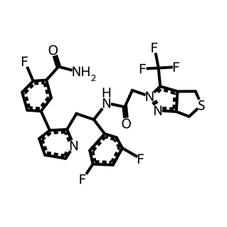 NC(=O)c1cc(-c2cccnc2CC(NC(=O)Cn2nc3c(c2C(F)(F)F)CSC3)c2cc(F)cc(F)c2)ccc1F